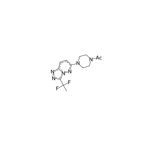 CC(=O)N1CCN(c2ccc3nnc(C(C)(F)F)n3n2)CC1